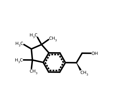 CC1C(C)(C)c2ccc([C@H](C)CO)cc2C1(C)C